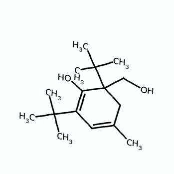 CC1=CC(C(C)(C)C)=C(O)C(CO)(C(C)(C)C)C1